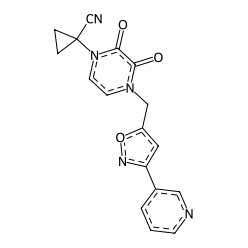 N#CC1(n2ccn(Cc3cc(-c4cccnc4)no3)c(=O)c2=O)CC1